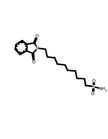 NS(=O)(=O)CCCCCCCCCCN1C(=O)c2ccccc2C1=O